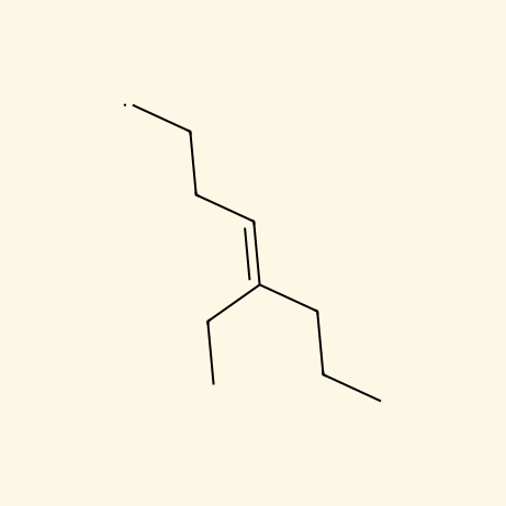 [CH2]CC/C=C(\CC)CCC